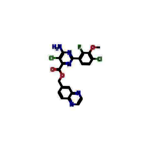 COc1c(Cl)ccc(-c2nc(N)c(Cl)c(C(=O)OCc3ccc4nccnc4c3)n2)c1F